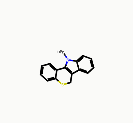 CCCn1c2c(c3ccccc31)CSc1ccccc1-2